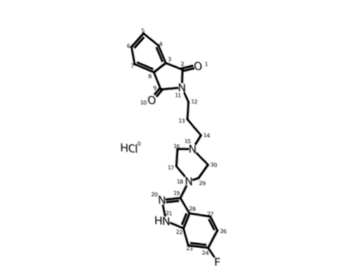 Cl.O=C1c2ccccc2C(=O)N1CCCN1CCN(c2n[nH]c3cc(F)ccc23)CC1